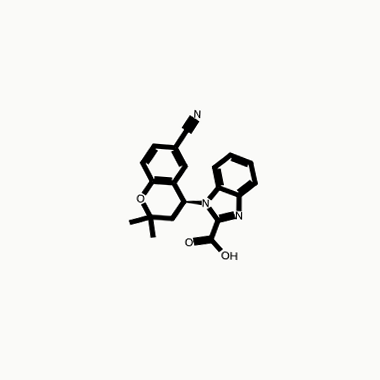 CC1(C)C[C@H](n2c(C(=O)O)nc3ccccc32)c2cc(C#N)ccc2O1